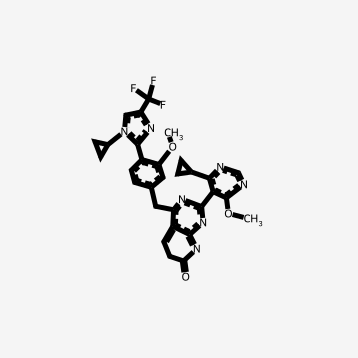 COc1cc(Cc2nc(-c3c(OC)ncnc3C3CC3)nc3c2=CCC(=O)N=3)ccc1-c1nc(C(F)(F)F)cn1C1CC1